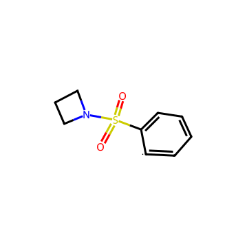 O=S(=O)(c1[c]cccc1)N1CCC1